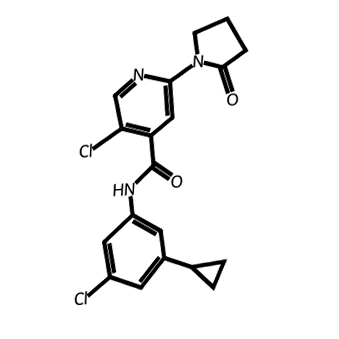 O=C(Nc1cc(Cl)cc(C2CC2)c1)c1cc(N2CCCC2=O)ncc1Cl